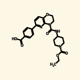 CCOC(=O)N1CCC(NC(=O)N2CCOc3ccc(-c4ccc(C(=O)O)cc4)nc32)CC1